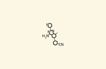 Cc1cc(-c2cccc(C#N)c2)cc2c(N)nc(-c3cccnc3)nc12